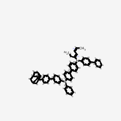 C=C/C(=C\C=C/C)N(c1ccc(-c2ccccc2)cc1)c1ccc(-c2ccc(N(c3ccccc3)c3ccc(-c4ccc(C56CC7CC(CC(C7)C5)C6)cc4)cc3)cc2)cc1